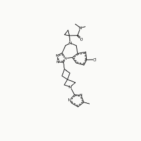 Cc1ccnc(N2CC3(CC(c4nnc5n4-c4ccc(Cl)cc4CN(C4(C(=O)N(C)C)CC4)C5)C3)C2)n1